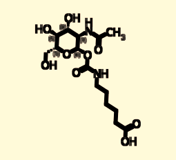 CC(=O)N[C@H]1[C@@H](OC(=O)NCCCCCC(=O)O)O[C@H](CO)[C@@H](O)[C@@H]1O